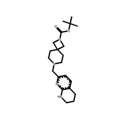 CC(C)(C)OC(=O)N1CC2(CCN(Cc3ccc4c(n3)NCCC4)CC2)C1